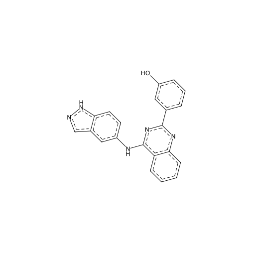 Oc1cccc(-c2nc(Nc3ccc4[nH]ncc4c3)c3ccccc3n2)c1